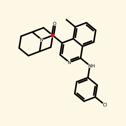 Cc1cccc2c(Nc3cccc(Cl)c3)ncc(C(=O)N3C4CCCC3COC4)c12